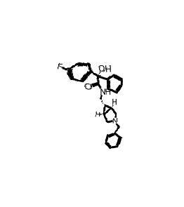 O=C(NC[C@@H]1[C@H]2CN(Cc3ccccc3)C[C@@H]12)[C@](O)(c1ccccc1)c1ccc(F)cc1